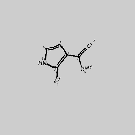 COC(=O)c1cc[nH]c1Cl